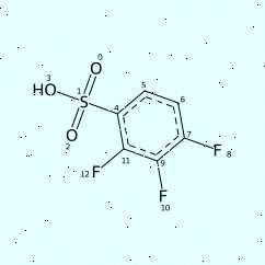 O=S(=O)(O)c1ccc(F)c(F)c1F